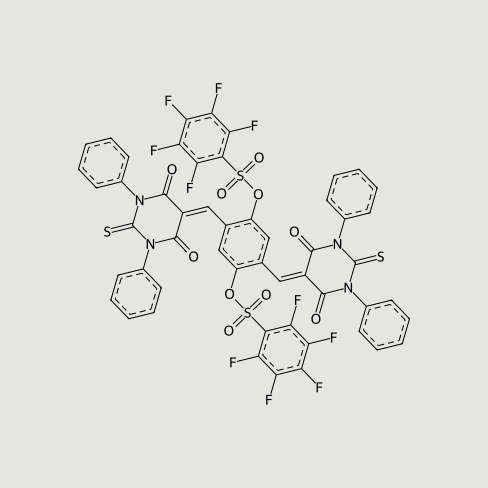 O=C1C(=Cc2cc(OS(=O)(=O)c3c(F)c(F)c(F)c(F)c3F)c(C=C3C(=O)N(c4ccccc4)C(=S)N(c4ccccc4)C3=O)cc2OS(=O)(=O)c2c(F)c(F)c(F)c(F)c2F)C(=O)N(c2ccccc2)C(=S)N1c1ccccc1